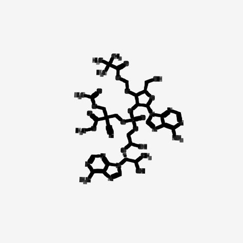 COC(=O)C(C#N)(COC(C)=O)COP(=O)(OCC(O)O[C@H](C(C)O)n1cnc2c(N)ncnc21)OC1C(OCOC(=O)C(C)(C)C)[C@@H](CO)O[C@H]1n1cnc2c(N)ncnc21